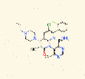 CC=CN1CCN(c2c(C#N)c(=O)n(-c3c(C(C)C)ncnc3C(C)C)c3nc(-c4c(N)cccc4F)c(Cl)cc23)CC1